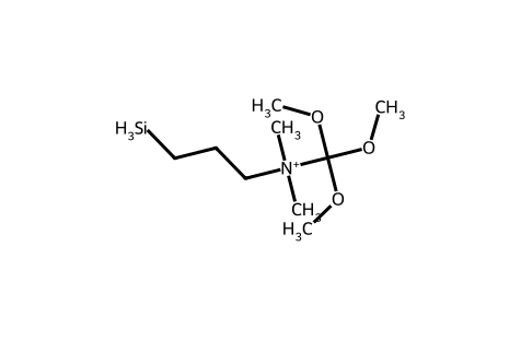 COC(OC)(OC)[N+](C)(C)CCC[SiH3]